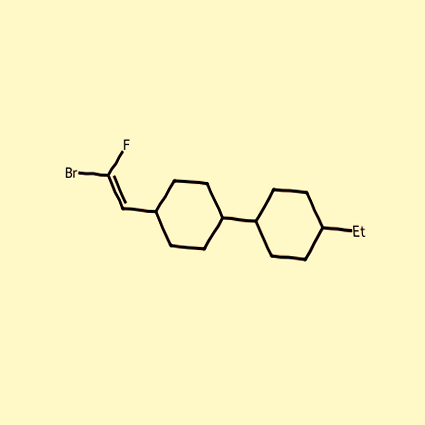 CCC1CCC(C2CCC(/C=C(\F)Br)CC2)CC1